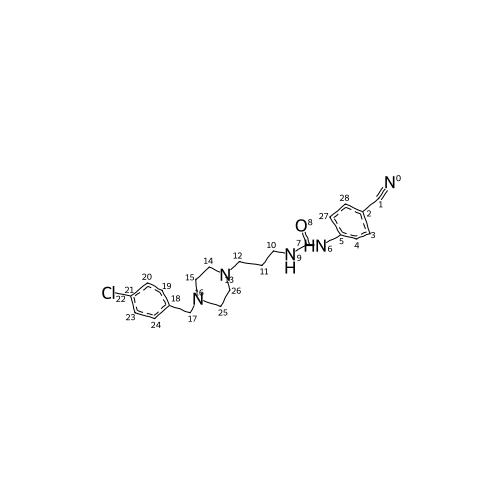 N#Cc1ccc(NC(=O)NCCCN2CCN(Cc3ccc(Cl)cc3)CC2)cc1